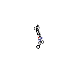 C=C(/N=C\C(=C/C)C(=O)OCc1ccccc1)n1cc2c(n1)CN(C(=O)OC(C)(C)C)C2